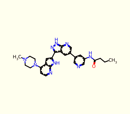 CCCC(=O)Nc1cncc(-c2cnc3[nH]nc(-c4cc5c(N6CCN(C)CC6)ccnc5[nH]4)c3c2)c1